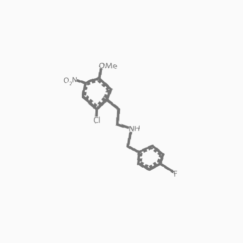 COc1cc(CCNCc2ccc(F)cc2)c(Cl)cc1[N+](=O)[O-]